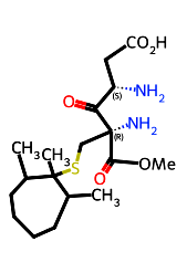 COC(=O)[C@@](N)(CSC1(C)C(C)CCCCC1C)C(=O)[C@@H](N)CC(=O)O